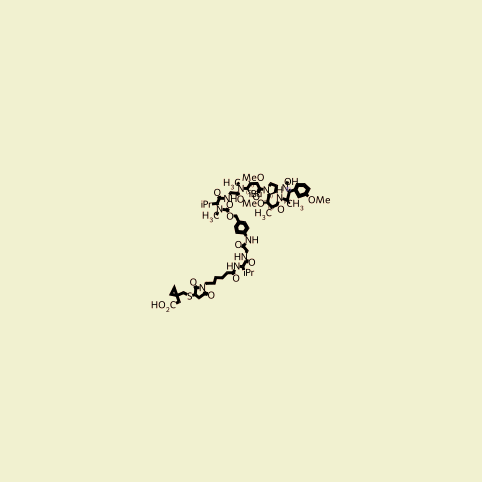 CC[C@H](C)C([C@@H](CC(=O)N1CCC[C@H]1[C@H](OC)[C@@H](C)C(=O)N[C@H](C)/C(=N/O)c1cccc(OC)c1)OC)N(C)C(=O)CNC(=O)C(C(C)C)N(C)C(=O)OCc1ccc(NC(=O)CNC(=O)C(NC(=O)CCCCCN2C(=O)CC(SCC3(CC(=O)O)CC3)C2=O)C(C)C)cc1